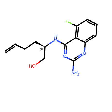 C=CCC[C@H](CO)Nc1nc(N)nc2cccc(F)c12